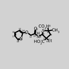 CCC1(C(=O)O)CC(C)(C(=O)O)SC1NC(=O)COc1ccccn1